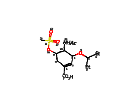 CCC(CC)OC1C=C(C(=O)O)CC(OS(C)(=O)=O)C1NC(C)=O